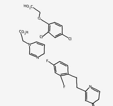 O=C(O)CN1C=CCN=C1.O=C(O)COc1ccc(Cl)cc1Cl.O=C1C=C(CCc2ccc(F)cc2F)N=CC1